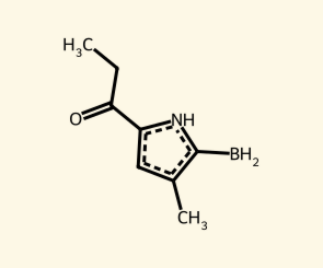 Bc1[nH]c(C(=O)CC)cc1C